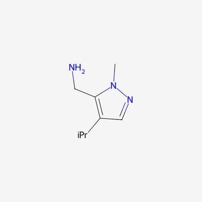 CC(C)c1cnn(C)c1CN